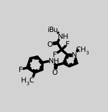 CCC(C)NC(=O)C(F)(F)c1c(C(=O)Nc2ccc(F)c(C)c2)ccn1C